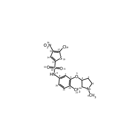 CN1CCC(Oc2cc(NS(=O)(=O)c3cc([N+](=O)[O-])c(Cl)s3)ccc2C(F)(F)F)C1